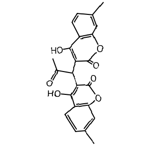 CC(=O)C(c1c(O)c2ccc(C)cc2oc1=O)c1c(O)c2ccc(C)cc2oc1=O